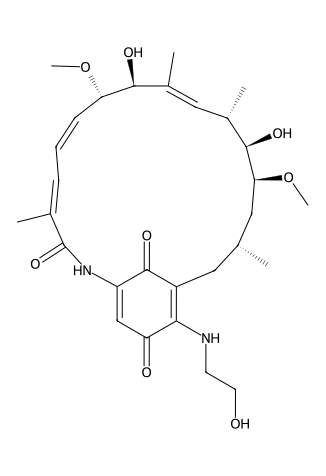 CO[C@H]1/C=C\C=C(/C)C(=O)NC2=CC(=O)C(NCCO)=C(C[C@@H](C)C[C@H](OC)[C@H](O)[C@@H](C)/C=C(\C)[C@@H]1O)C2=O